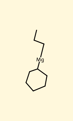 CC[CH2][Mg][CH]1CCCCC1